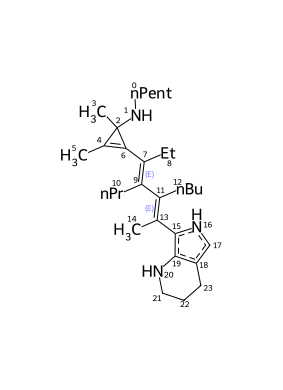 CCCCCNC1(C)C(C)=C1/C(CC)=C(CCC)/C(CCCC)=C(\C)c1[nH]cc2c1NCCC2